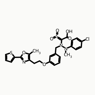 Cc1oc(-c2cccs2)nc1CCOc1cccc(CN(C(C(=O)O)=S(=O)=O)N(C)c2ccc(Cl)cc2)c1